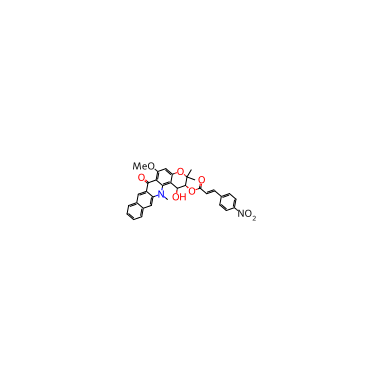 COc1cc2c(c3c1c(=O)c1cc4ccccc4cc1n3C)[C@H](O)[C@H](OC(=O)C=Cc1ccc([N+](=O)[O-])cc1)C(C)(C)O2